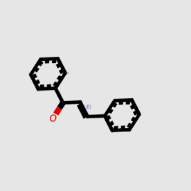 O=C(/C=C/c1ccccc1)c1[c]cccc1